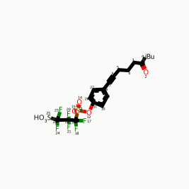 CCC(C)C(=O)CCCC#Cc1ccc(OS(=O)(=O)C(F)(F)C(F)(F)C(F)(F)S(=O)(=O)O)cc1